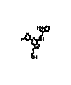 OCCCn1cnc2c(NCCc3c[nH]c4ccccc34)nc(-c3cncc(F)c3)nc21